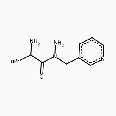 CCCC(N)C(=O)N(N)Cc1cccnc1